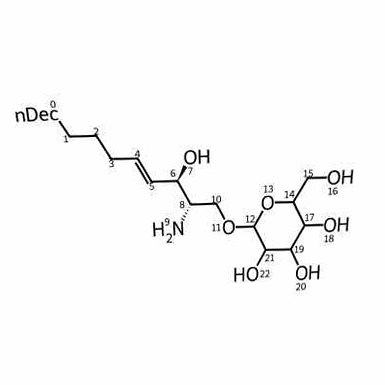 CCCCCCCCCCCCC/C=C/[C@@H](O)[C@@H](N)COC1OC(CO)C(O)C(O)C1O